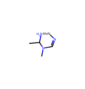 CN/N=C\N(C)C(C)N